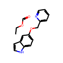 CCOC=O.c1ccc(COc2ccc3[nH]ccc3c2)nc1